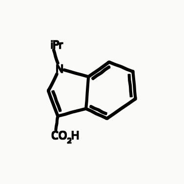 CC(C)n1cc(C(=O)O)c2ccccc21